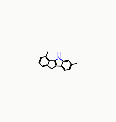 Cc1ccc2c3c([nH]c2c1)-c1c(C)cccc1C3